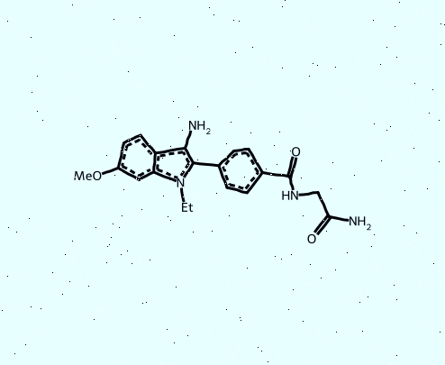 CCn1c(-c2ccc(C(=O)NCC(N)=O)cc2)c(N)c2ccc(OC)cc21